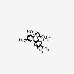 Cc1ccc(=O)n(-c2nc(C)c(C)nc2C)c1.O=C(O)CCC(=O)O